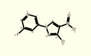 O=[N+]([O-])c1cn(-c2cncc(F)c2)nc1Cl